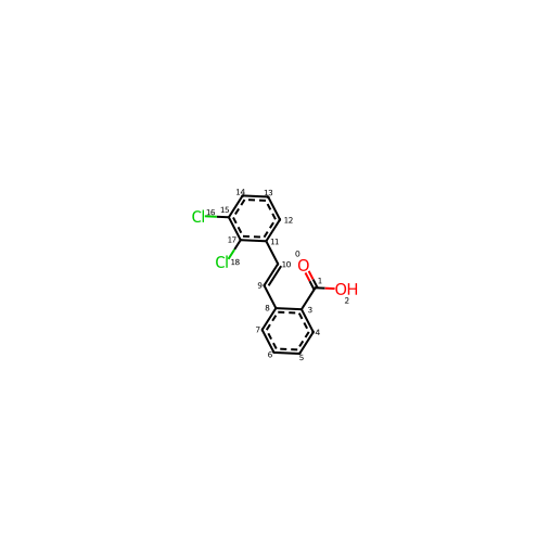 O=C(O)c1ccccc1/C=C/c1cccc(Cl)c1Cl